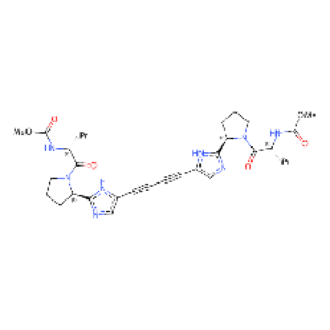 COC(=O)N[C@@H](C(=O)N1CCC[C@@H]1c1ncc(C#CC#Cc2cnc([C@H]3CCCN3C(=O)[C@H](NC(=O)OC)C(C)C)[nH]2)[nH]1)C(C)C